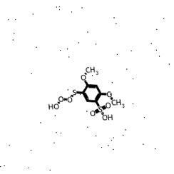 COc1cc(OC)c(S(=O)(=O)O)cc1SOOO